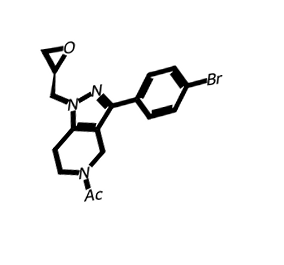 CC(=O)N1CCc2c(c(-c3ccc(Br)cc3)nn2C[C@H]2CO2)C1